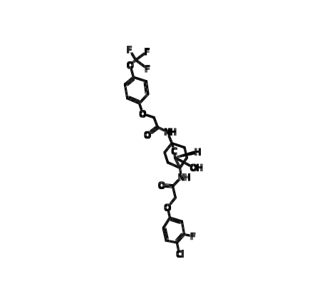 O=C(COc1ccc(OC(F)(F)F)cc1)NC12CCC(NC(=O)COc3ccc(Cl)c(F)c3)(CC1)[C@@H](O)C2